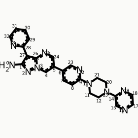 Nc1nn2cc(-c3ccc(N4CCN(c5cnccn5)CC4)nc3)cnc2c1-c1ccccn1